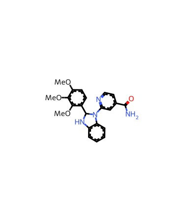 COc1ccc(C2Nc3ccccc3N2c2cc(C(N)=O)ccn2)c(OC)c1OC